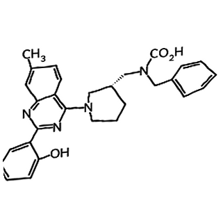 Cc1ccc2c(N3CCC[C@@H](CN(Cc4ccccc4)C(=O)O)C3)nc(-c3ccccc3O)nc2c1